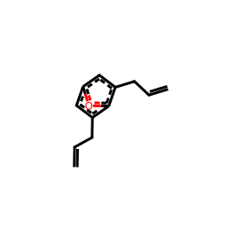 C=CCc1cc2cc(CC=C)c1o2